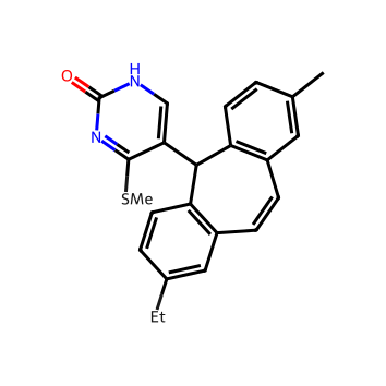 CCc1ccc2c(c1)C=Cc1cc(C)ccc1C2c1c[nH]c(=O)nc1SC